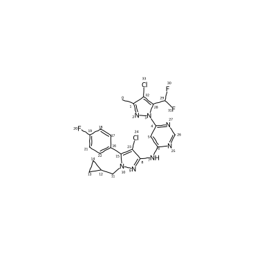 Cc1nn(-c2cc(Nc3nn(CC4CC4)c(-c4ccc(F)cc4)c3Cl)ncn2)c(C(F)F)c1Cl